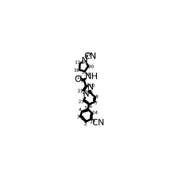 N#Cc1cccc(-c2ccc3nc(C(=O)N[C@@H]4CCN(C#N)C4)cn3c2)c1